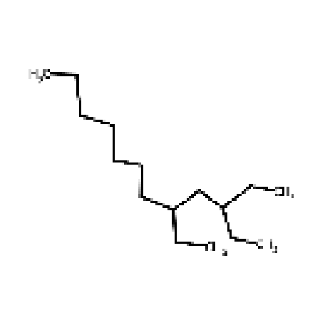 CCCCCCCC(CC)CC(CC)CC